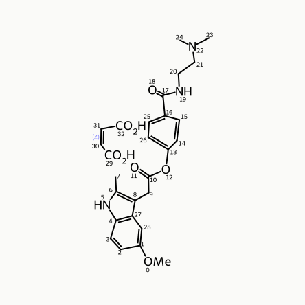 COc1ccc2[nH]c(C)c(CC(=O)Oc3ccc(C(=O)NCCN(C)C)cc3)c2c1.O=C(O)/C=C\C(=O)O